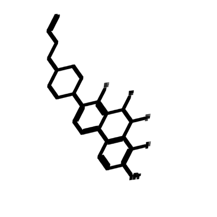 C=CCCC1CCC(c2ccc3c(c2F)C(F)C(F)c2c-3ccc(CCC)c2F)CC1